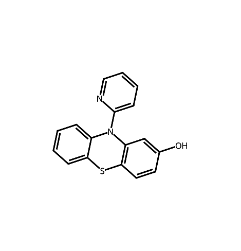 Oc1ccc2c(c1)N(c1ccccn1)c1ccccc1S2